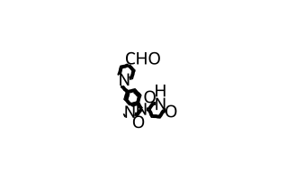 Cn1c(=O)n(C2CCC(=O)NC2=O)c2ccc(CN3CCC(C=O)CC3)cc21